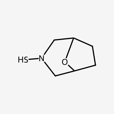 SN1CC2CCC(C1)O2